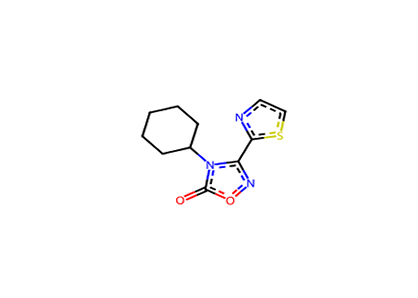 O=c1onc(-c2nccs2)n1C1CCCCC1